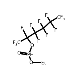 CCO[PH](=O)OC(F)(C(F)(F)F)C(F)(F)C(F)(F)C(F)(F)C(F)(F)F